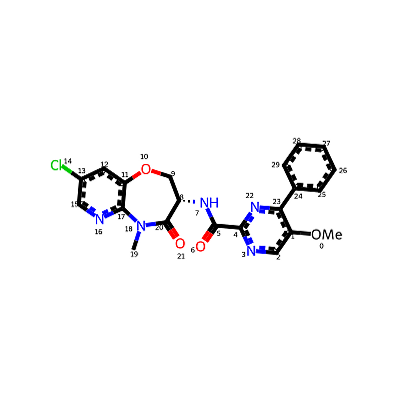 COc1cnc(C(=O)N[C@H]2COc3cc(Cl)cnc3N(C)C2=O)nc1-c1ccccc1